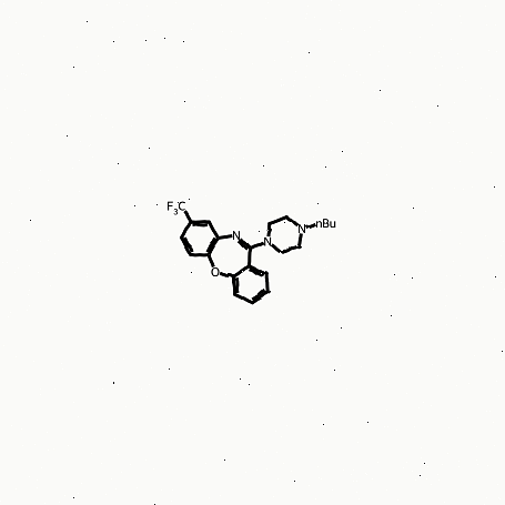 CCCCN1CCN(C2=Nc3cc(C(F)(F)F)ccc3Oc3ccccc32)CC1